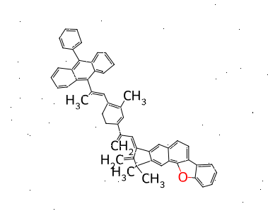 C=C(/C=C1\C(=C)C(C)(C)c2cc3c(ccc4c5ccccc5oc34)cc21)C1=CC(C)=C(/C=C(\C)c2c3ccccc3c(-c3ccccc3)c3ccccc23)CC1